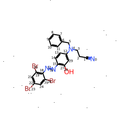 N#CCCN(Cc1ccccc1)c1ccc(N=Nc2c(Br)cc(Br)cc2Br)c(O)c1